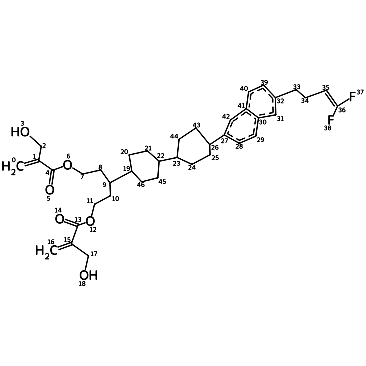 C=C(CO)C(=O)OCCC(CCOC(=O)C(=C)CO)C1CCC(C2CCC(c3ccc4cc(CCC=C(F)F)ccc4c3)CC2)CC1